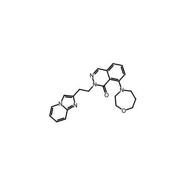 O=c1c2c(N3CCCOCC3)cccc2cnn1CCc1cn2ccccc2n1